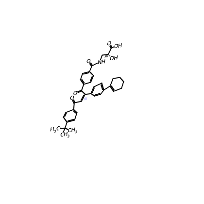 CC(C)(C)c1ccc(C(=O)/C=C(\C(=O)c2ccc(C(=O)NC[C@@H](O)C(=O)O)cc2)c2ccc(C3=CCCCC3)cc2)cc1